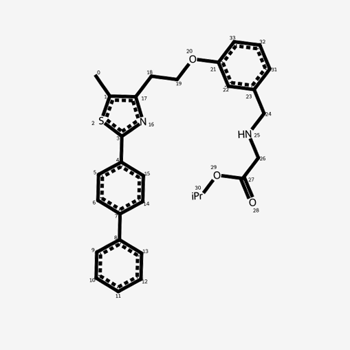 Cc1sc(-c2ccc(-c3ccccc3)cc2)nc1CCOc1[c]c(CNCC(=O)OC(C)C)ccc1